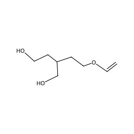 C=COCCC(CO)CCO